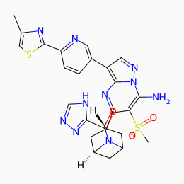 Cc1csc(-c2ccc(-c3cnn4c(N)c(S(C)(=O)=O)c([C@@H]5CC6C[C@@H](C5)N6C(=O)c5nnc[nH]5)nc34)cn2)n1